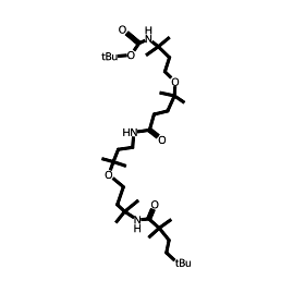 CC(C)(C)CCC(C)(C)C(=O)NC(C)(C)CCOC(C)(C)CCNC(=O)CCC(C)(C)OCCC(C)(C)NC(=O)OC(C)(C)C